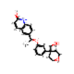 CC(Oc1cccc(C2(CO)CCOCC2)c1)c1ccc2[nH]c(=O)ccc2c1